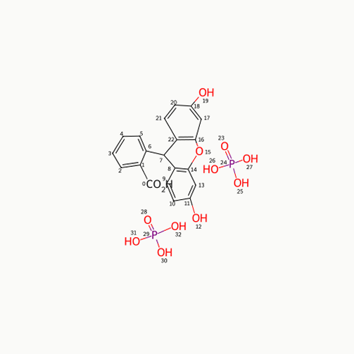 O=C(O)c1ccccc1C1c2ccc(O)cc2Oc2cc(O)ccc21.O=P(O)(O)O.O=P(O)(O)O